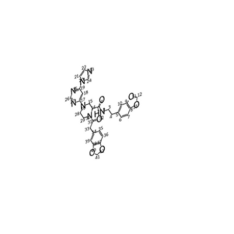 O=C(NCCc1ccc2c(c1)OCO2)C1CN(c2cc(-n3ccnc3)ncn2)CCN1C(=O)Cc1ccc2c(c1)OCO2